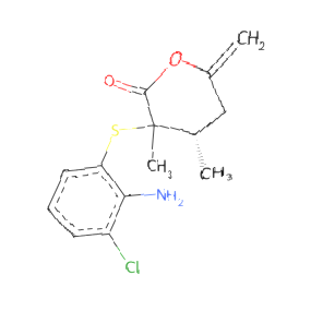 C=C1C[C@H](C)C(C)(Sc2cccc(Cl)c2N)C(=O)O1